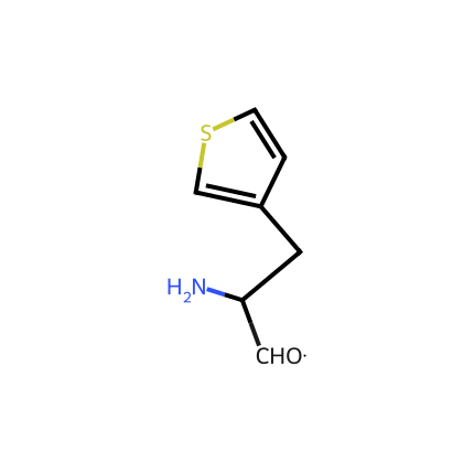 NC([C]=O)Cc1ccsc1